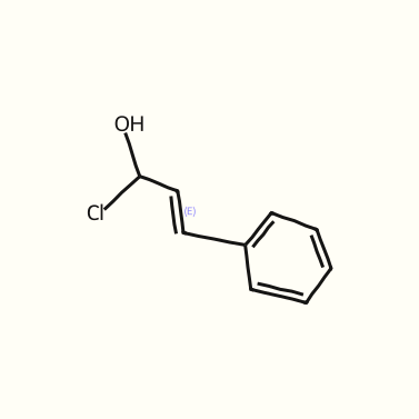 OC(Cl)/C=C/c1ccccc1